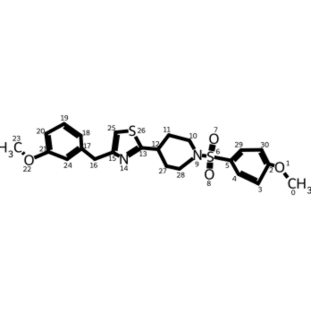 COc1ccc(S(=O)(=O)N2CCC(c3nc(Cc4cccc(OC)c4)cs3)CC2)cc1